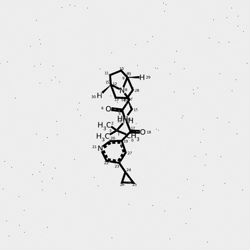 CC(C)(C)NC(=O)CN1[C@@H]2CC[C@H]1C[C@H](CNC(=O)c1cncc(C3CC3)c1)C2